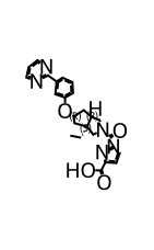 CC[C@]12C[C@H](Oc3cccc(-c4ncccn4)c3)C[C@H]1CN(C(=O)n1ccc(C(=O)O)n1)C2